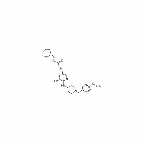 COc1ccc(CN2CCC(Nc3ncc(/C=C/C(=O)NOC4CCCCO4)cc3Cl)CC2)cc1